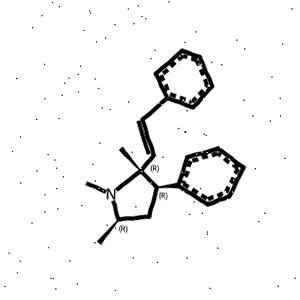 C[C@@H]1C[C@H](c2ccccc2)[C@@](C)(C=Cc2ccccc2)N1C